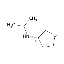 CC(C)N[C@H]1CCOC1